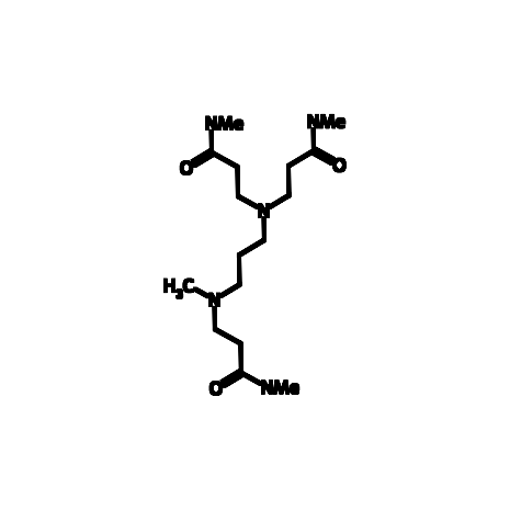 CNC(=O)CCN(C)CCCN(CCC(=O)NC)CCC(=O)NC